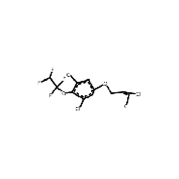 FC(F)C(F)(F)Oc1c(Cl)cc(OCC=C(Cl)Cl)cc1Cl